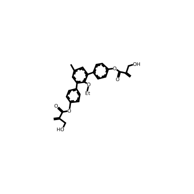 C=C(CO)C(=O)Oc1ccc(-c2cc(C)cc(-c3ccc(OC(=O)C(=C)CO)cc3)c2OCC)cc1